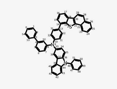 c1ccc(-c2cccc(N(c3ccc(-c4cccc5c4sc4c6ccccc6ccc54)cc3)c3ccc4c(c3)c3ccccc3n4-c3ccccc3)c2)cc1